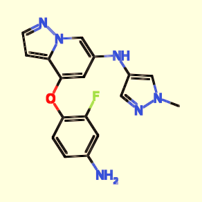 Cn1cc(Nc2cc(Oc3ccc(N)cc3F)c3ccnn3c2)cn1